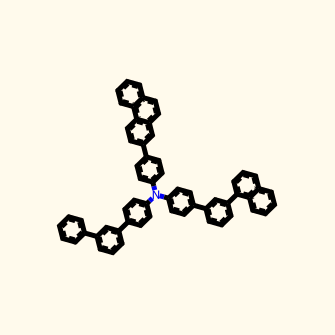 c1ccc(-c2cccc(-c3ccc(N(c4ccc(-c5cccc(-c6cccc7ccccc67)c5)cc4)c4ccc(-c5ccc6c(ccc7ccccc76)c5)cc4)cc3)c2)cc1